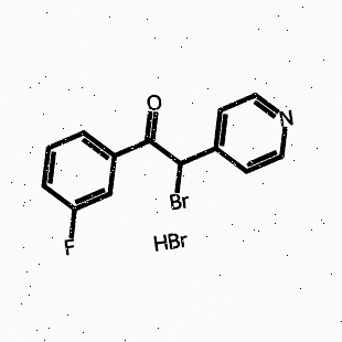 Br.O=C(c1cccc(F)c1)C(Br)c1ccncc1